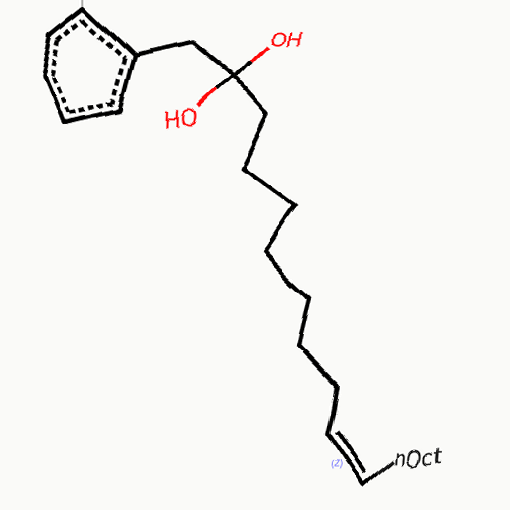 CCCCCCCC/C=C\CCCCCCCC(O)(O)Cc1ccccc1